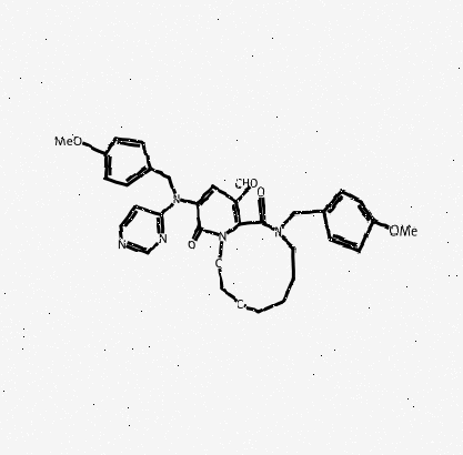 COc1ccc(CN2CCCCCCCn3c(c(C=O)cc(N(Cc4ccc(OC)cc4)c4ccncn4)c3=O)C2=O)cc1